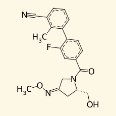 CO/N=C1/C[C@@H](CO)N(C(=O)c2ccc(-c3cccc(C#N)c3C)c(F)c2)C1